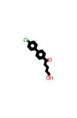 O=C(CCCCO)c1ccc(-c2ccc(Cl)cc2)cc1